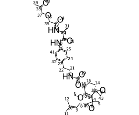 CO[C@H]1[C@H](C2(C)O[C@@H]2CC=C(C)C)[C@]2(CC[C@H]1OC(=O)NCCc1ccc(NC(=O)[C@H](C)NC(=O)COCC(C)=O)cc1)CO2